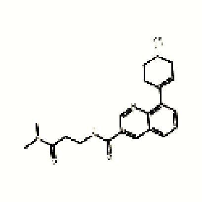 CN(C)C(=O)CCNC(=O)c1cnc2c(C3=CC[C@@H](C(F)(F)F)CC3)cccc2c1